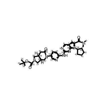 CN(C)C(=O)c1cc2cnc(Nc3ccc(N4C[C@@H]5CN(C(=O)OC(C)(C)C)C[C@@H]5CC4=O)cn3)nc2n1C1CCCC1